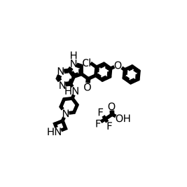 O=C(O)C(F)(F)F.O=C(c1ccc(Oc2ccccc2)cc1Cl)c1c[nH]c2ncnc(NC3CCN(C4CNC4)CC3)c12